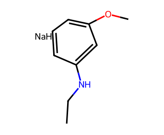 CCNc1cccc(OC)c1.[NaH]